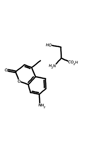 Cc1cc(=O)oc2cc(N)ccc12.NC(CO)C(=O)O